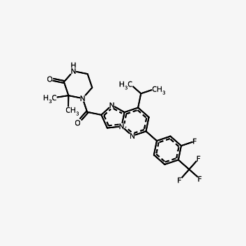 CC(C)c1cc(-c2ccc(C(F)(F)F)c(F)c2)nn2cc(C(=O)N3CCNC(=O)C3(C)C)nc12